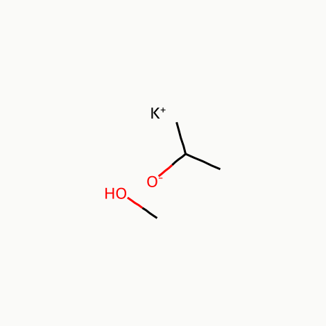 CC(C)[O-].CO.[K+]